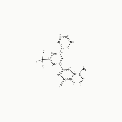 Cc1cccc2c(=O)[nH]c(-c3cc(-c4cncnc4)cc(C(F)(F)F)c3)nc12